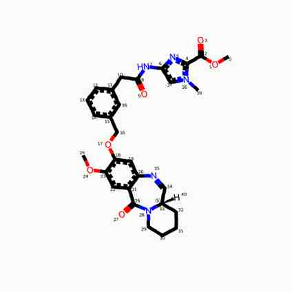 COC(=O)c1nc(NC(=O)Cc2cccc(COc3cc4c(cc3OC)C(=O)N3CCCC[C@H]3C=N4)c2)cn1C